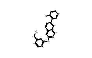 Cc1ccncc1-c1ccc2cc(Nc3cc(CO)ccn3)ncc2c1